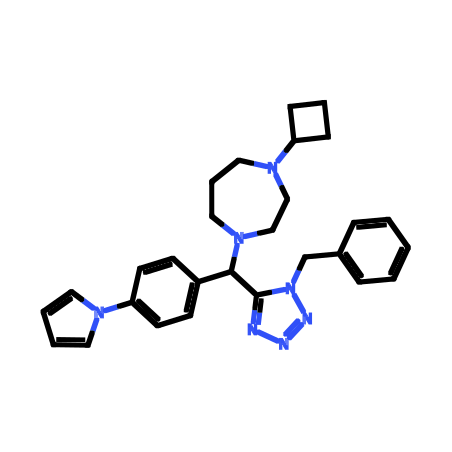 c1ccc(Cn2nnnc2C(c2ccc(-n3cccc3)cc2)N2CCCN(C3CCC3)CC2)cc1